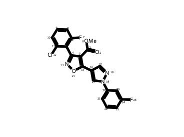 COC(=O)c1c(-c2c(F)cccc2Cl)noc1-c1cnn(-c2cccc(F)c2)c1